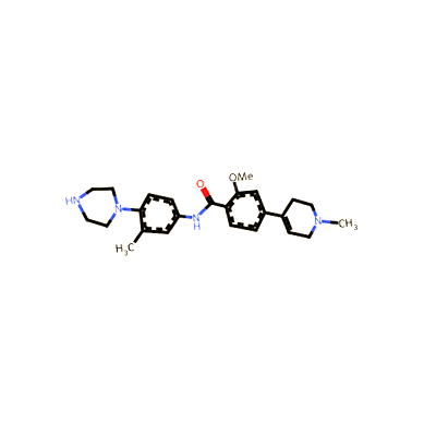 COc1cc(C2=CCN(C)CC2)ccc1C(=O)Nc1ccc(N2CCNCC2)c(C)c1